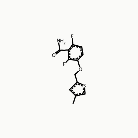 Cc1csc(COc2ccc(F)c(C(N)=O)c2F)c1